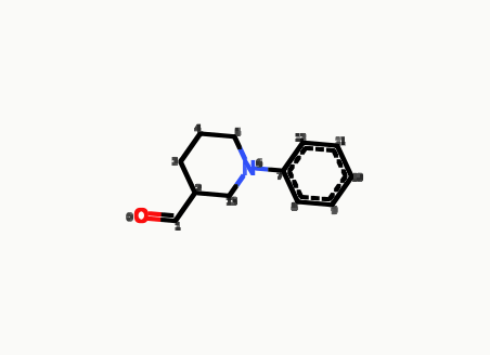 O=CC1CCCN(c2ccccc2)C1